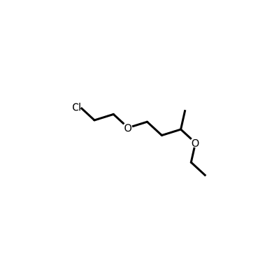 CCOC(C)CCOCCCl